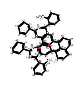 Cc1ccccc1-c1nc(-c2ccccc2)nc(-c2cccc(-c3cccc4cccc(-c5cccc(-c6nc(-c7ccccc7)nc(-c7ccccc7C)n6)c5)c34)c2)n1